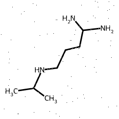 CC(C)NCCCC(N)N